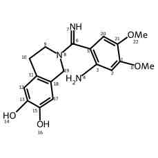 COc1cc(N)c(C(=N)N2CCc3cc(O)c(O)cc3C2)cc1OC